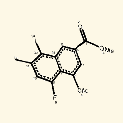 COC(=O)c1cc(OC(C)=O)c2c(F)cc(C)c(I)c2c1